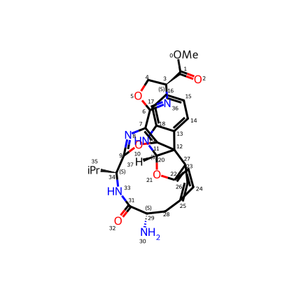 COC(=O)[C@@H]1COC(c2nc3oc2C24c5ccccc5N[C@H]2Oc2ccc(cc24)C[C@H](N)C(=O)N[C@H]3C(C)C)=N1